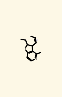 C/C=C\C1c2c(ccnc2I)OC1CC